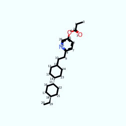 CCC(=O)Oc1ccc(CCC2CCC([C@H]3CC[C@H](CC)CC3)CC2)nc1